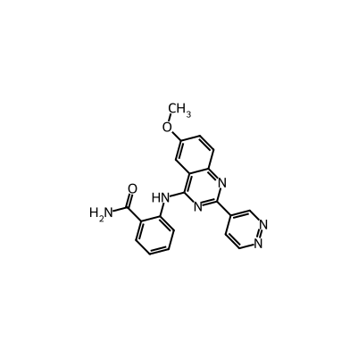 COc1ccc2nc(-c3ccnnc3)nc(Nc3ccccc3C(N)=O)c2c1